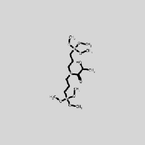 CO[Si](CCCN(CCC[Si](OC)(OC)OC)C(=O)C(C)O)(OC)OC